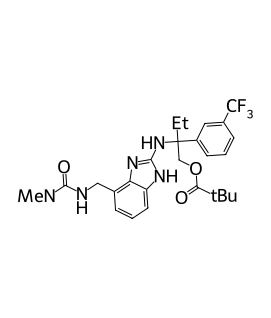 CCC(COC(=O)C(C)(C)C)(Nc1nc2c(CNC(=O)NC)cccc2[nH]1)c1cccc(C(F)(F)F)c1